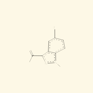 CC(=O)c1nn(C)c2ccc(F)cc12